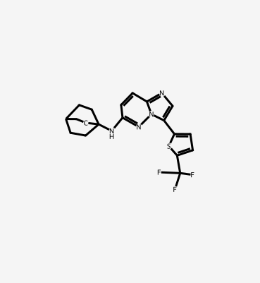 FC(F)(F)c1ccc(-c2cnc3ccc(NC45CCC(CC4)CC5)nn23)s1